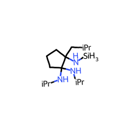 CC(C)CC1(N[SiH3])CCCC1(NC(C)C)NC(C)C